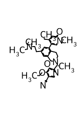 CCOc1cc([C@H](C)N2CCc3c(cc(CCN(C)CC)cc3-c3cn(C)c(=O)cc3CC)C2=O)ncc1C#N